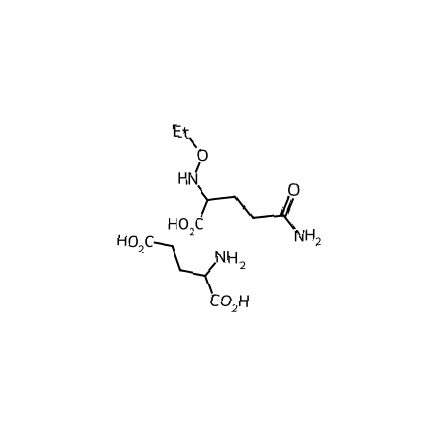 CCONC(CCC(N)=O)C(=O)O.NC(CCC(=O)O)C(=O)O